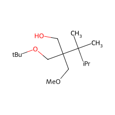 COCC(CO)(COC(C)(C)C)C(C)(C)C(C)C